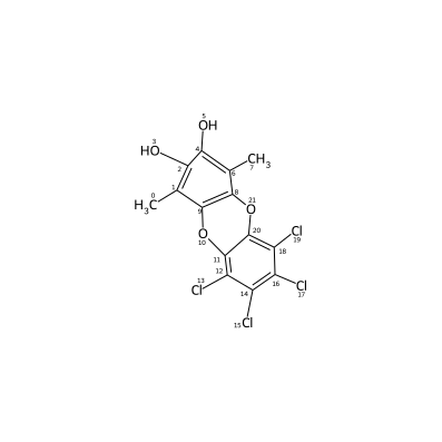 Cc1c(O)c(O)c(C)c2c1Oc1c(Cl)c(Cl)c(Cl)c(Cl)c1O2